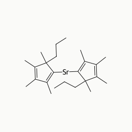 CCCC1(C)C(C)=C(C)C(C)=[C]1[Sr][C]1=C(C)C(C)=C(C)C1(C)CCC